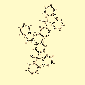 O=P1(c2ccc3c4ccc(P5(=O)c6ccccc6-c6ccccc65)cc4n4c5ccccc5nc4c3c2)c2ccccc2-c2ccccc21